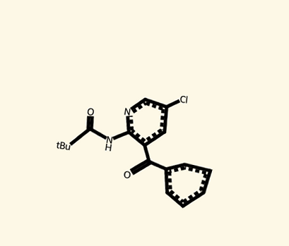 CC(C)(C)C(=O)Nc1ncc(Cl)cc1C(=O)c1ccccc1